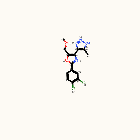 COCc1oc(-c2ccc(Cl)c(Cl)c2)nc1-c1nn[nH]c1C